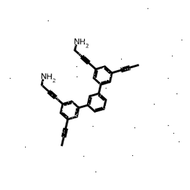 CC#Cc1cc(C#CCN)cc(-c2cccc(-c3cc(C#CC)cc(C#CCN)c3)c2)c1